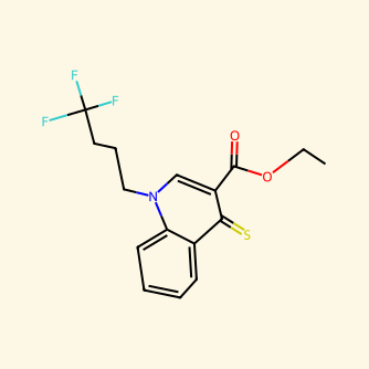 CCOC(=O)c1cn(CCCC(F)(F)F)c2ccccc2c1=S